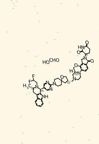 C[C@H]1Cc2c([nH]c3ccccc23)[C@H](c2cnc(N3CCC4(CC3)C[C@@H](CN3CCN5c6ccc7c(c6OC[C@@H]5C3)CN([C@@H]3CCC(=O)NC3=O)C7=O)CO4)nc2)N1CC(F)F.O=CO